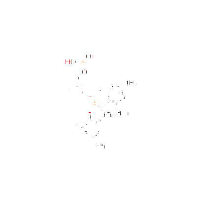 [CH2]C([CH2])(COP(O)O)COP(Oc1c(C)cc(C(C)(C)C)cc1C(C)(C)C)Oc1c(C)cc(C(C)(C)C)cc1C(C)(C)C